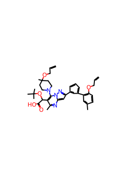 C=CCOc1ccc(C)cc1-c1cccc(-c2cc3nc(C)c(C(OC(C)(C)C)C(=O)O)c(N4CCC(C)(OCC=C)CC4)n3n2)c1